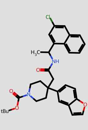 CC(NC(=O)CC1(c2ccc3occc3c2)CCN(C(=O)OC(C)(C)C)CC1)c1cc(Cl)cc2ccccc12